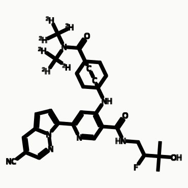 [2H]C([2H])([2H])N(C(=O)C12CCC(Nc3cc(-c4ccc5cc(C#N)cnn45)ncc3C(=O)NCC(F)C(C)(C)O)(CC1)CC2)C([2H])([2H])[2H]